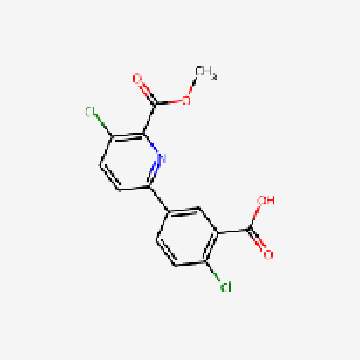 COC(=O)c1nc(-c2ccc(Cl)c(C(=O)O)c2)ccc1Cl